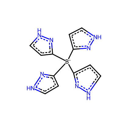 c1cc([B-](c2cc[nH]n2)(c2cc[nH]n2)c2cc[nH]n2)n[nH]1